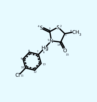 CC1SC(=S)[N]([Hg][c]2ccc(Cl)cc2)C1=O